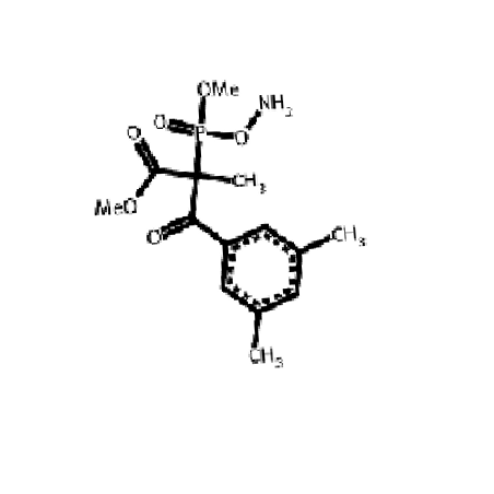 COC(=O)C(C)(C(=O)c1cc(C)cc(C)c1)P(=O)(OC)ON